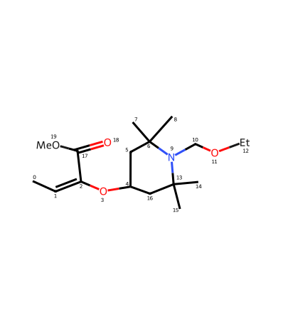 CC=C(OC1CC(C)(C)N(COCC)C(C)(C)C1)C(=O)OC